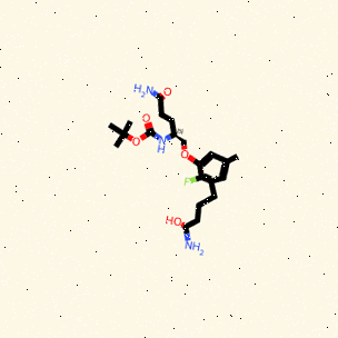 Cc1cc(CCCC(N)O)c(F)c(OC[C@H](CCC(N)=O)NC(=O)OC(C)(C)C)c1